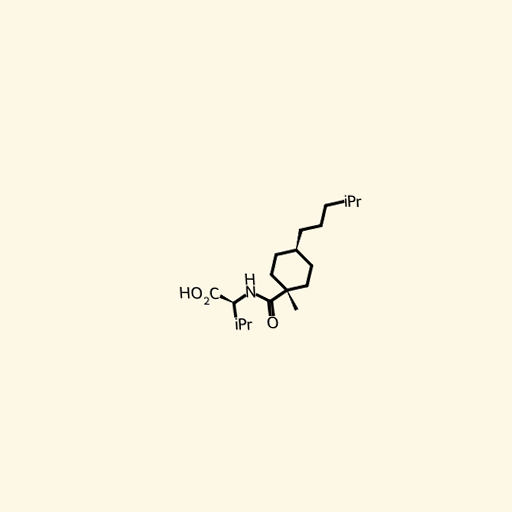 CC(C)CCC[C@H]1CC[C@](C)(C(=O)N[C@H](C(=O)O)C(C)C)CC1